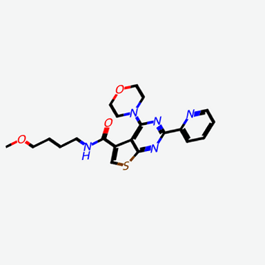 COCCCCNC(=O)c1csc2nc(-c3ccccn3)nc(N3CCOCC3)c12